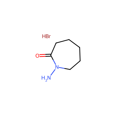 Br.NN1CCCCCC1=O